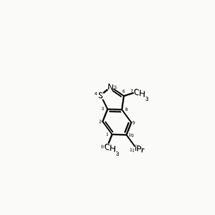 Cc1cc2snc(C)c2cc1C(C)C